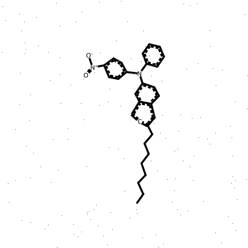 CCCCCCCCc1ccc2cc(N(c3ccccc3)c3ccc([N+](=O)[O-])cc3)ccc2c1